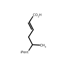 CCCC(C)C(C)CC=CC(=O)O